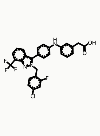 O=C(O)Cc1cccc(Nc2ccc(-c3c4cccc(C(F)(F)F)c4nn3Cc3ccc(Cl)cc3F)cc2)c1